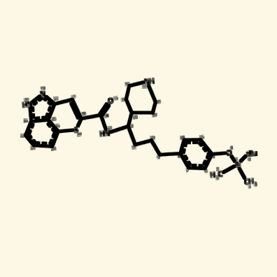 CC(C)(C)[Si](C)(C)Oc1ccc(CCCC(NC(=O)C2=Cc3n[nH]c4cccc(c34)S2)C2CCNCC2)cc1